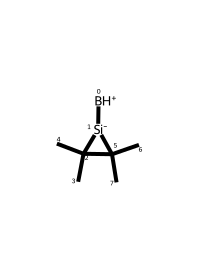 [BH+][Si-]1C(C)(C)C1(C)C